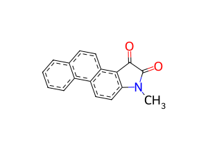 CN1C(=O)C(=O)c2c1ccc1c2ccc2ccccc21